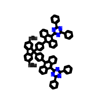 CCCCc1ccc2c(c1)C(c1ccc(-c3c4ccccc4c(-c4nc(-c5ccccc5)nc(-c5ccccc5)n4)c4ccccc34)cc1)(c1ccc(-c3c4ccccc4c(-c4nc(-c5ccccc5)nc(-c5ccccc5)n4)c4ccccc34)cc1)c1cc(CCCC)ccc1-2